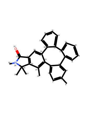 Cc1ccc2c(c1)-c1ccccc1-c1ccccc1-c1cc3c(c(C)c1-2)C(C)(C)N(C)C3=O